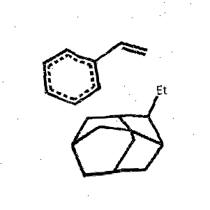 C=Cc1ccccc1.CCC1[C]2CC3CC(C2)CC1C3